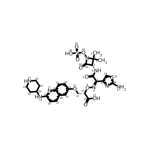 CC1(C)[C@H](NC(=O)/C(=N\O[C@@H](COc2ccc3nc(NC4CCNCC4)ccc3c2)C(=O)O)c2csc(N)n2)C(=O)N1OS(=O)(=O)O